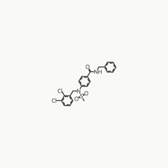 CS(=O)(=O)N(Cc1cccc(Cl)c1Cl)c1ccc(C(=O)NCc2ccccc2)cc1